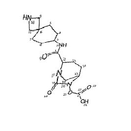 O=C(NC1CCC2(CC1)CNC2)C1CCC2CN1C(=O)N2OS(=O)O